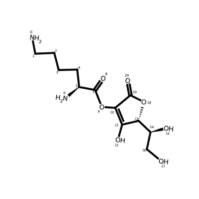 NCCCC[C@H](N)C(=O)OC1=C(O)[C@@H]([C@@H](O)CO)OC1=O